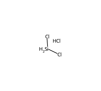 Cl.Cl[SiH2]Cl